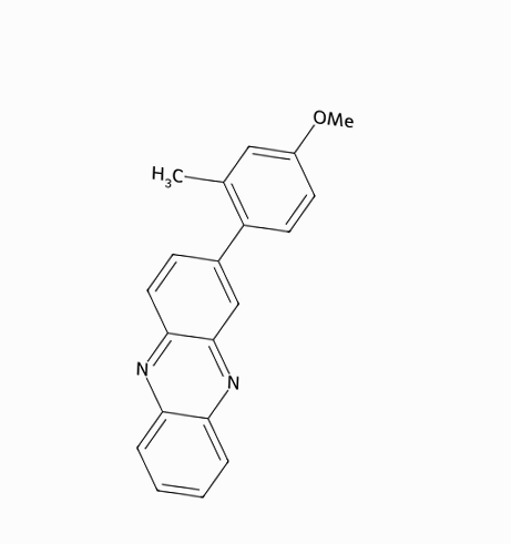 COc1ccc(-c2ccc3nc4ccccc4nc3c2)c(C)c1